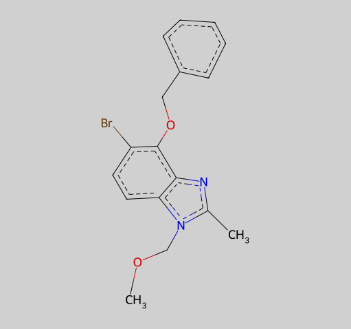 COCn1c(C)nc2c(OCc3ccccc3)c(Br)ccc21